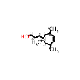 CC1C=CC(C)C[Si](C)(CCCO)C1